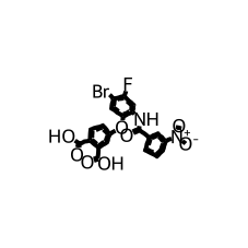 O=C(Nc1cc(F)c(Br)cc1Oc1ccc(C(=O)O)c(C(=O)O)c1)c1cccc([N+](=O)[O-])c1